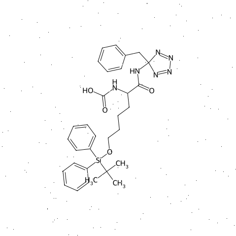 CC(C)(C)[Si](OCCCCC(NC(=O)O)C(=O)NC1(Cc2ccccc2)N=NN=N1)(c1ccccc1)c1ccccc1